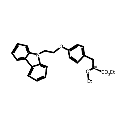 CCOC(=O)[C@H](Cc1ccc(OCCn2c3ccccc3c3ccccc32)cc1)OCC